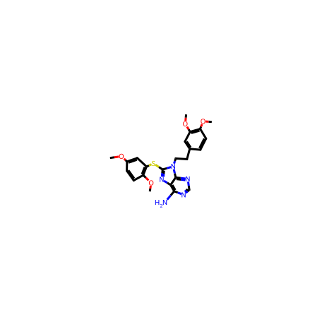 COc1ccc(OC)c(Sc2nc3c(N)ncnc3n2CCc2ccc(OC)c(OC)c2)c1